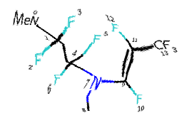 CNC(F)(F)C(F)(F)N(C)/C(F)=C(\F)C(F)(F)F